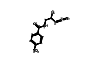 CCC(CNC(=O)c1ccc([N+](=O)[O-])cc1)N=[N+]=[N-]